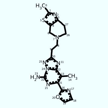 Cc1nc2c(s1)CN(CCc1nc3c(C)c(-c4ncco4)nc(N)n3n1)CC2